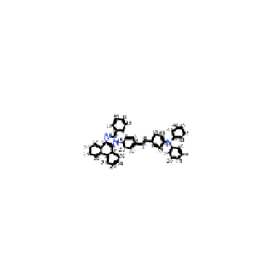 C(=C\c1ccc(-n2c(-c3ccccc3)nc3c4ccccc4c4ccccc4c32)cc1)/c1ccc(N(c2ccccc2)c2ccccc2)cc1